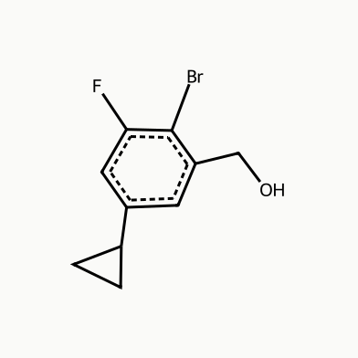 OCc1cc(C2CC2)cc(F)c1Br